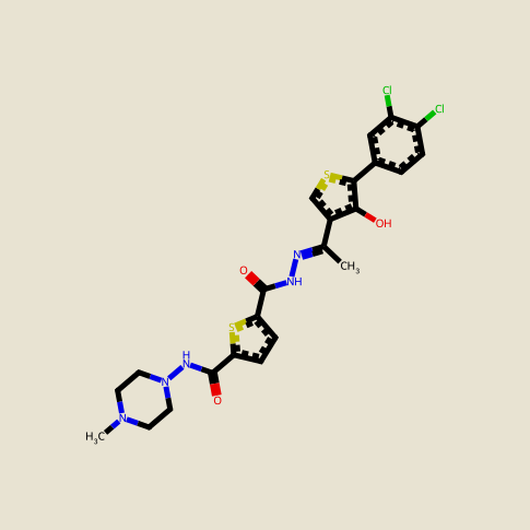 C/C(=N\NC(=O)c1ccc(C(=O)NN2CCN(C)CC2)s1)c1csc(-c2ccc(Cl)c(Cl)c2)c1O